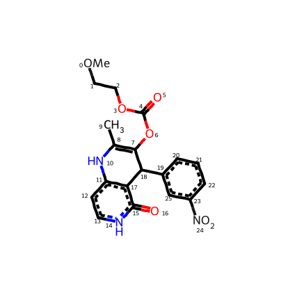 COCCOC(=O)OC1=C(C)Nc2cc[nH]c(=O)c2C1c1cccc([N+](=O)[O-])c1